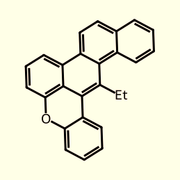 CCc1c2c3c(cccc3c3ccc4ccccc4c13)Oc1ccccc1-2